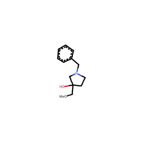 COCC1(O)CCN(Cc2ccccc2)C1